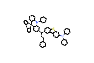 c1ccc(CCC(c2ccc3c(c2)N(c2ccccc2)c2ccccc2C32c3ccccc3-c3ccccc32)c2ccc3sc4cc(N(c5ccccc5)c5ccccc5)ccc4c3c2)cc1